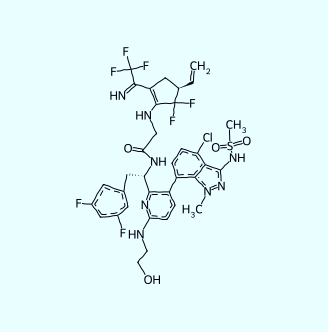 C=C[C@@H]1CC(C(=N)C(F)(F)F)=C(NCC(=O)N[C@@H](Cc2cc(F)cc(F)c2)c2nc(NCCO)ccc2-c2ccc(Cl)c3c(NS(C)(=O)=O)nn(C)c23)C1(F)F